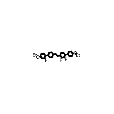 CCOc1ccc(-c2ccc(CCC3CC=C(c4ccc(OCC)cc4F)CC3)c(F)c2F)cc1